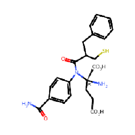 NC(=O)c1ccc(N(C(=O)C(CS)Cc2ccccc2)[C@](N)(CCC(=O)O)C(=O)O)cc1